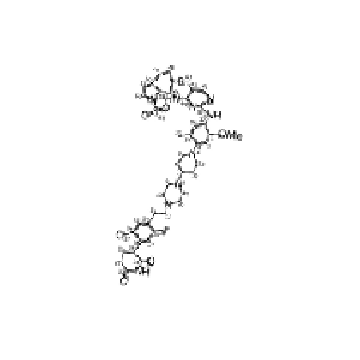 COc1cc(N2CCC(N3CCN(CCc4cc(Cl)c(C5CCC(=O)NC5=O)cc4F)CC3)CC2)c(C)cc1Nc1ncc(Br)c(Nc2cccc3ccn(S(C)(=O)=O)c23)n1